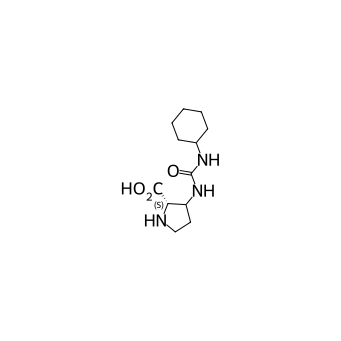 O=C(NC1CCCCC1)NC1CCN[C@@H]1C(=O)O